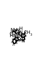 Cc1cc2cnn(C(C)C)c2cc1Nc1ncc(C(N)=O)c(N[C@H]2c3ccccc3C[C@H]2O)n1